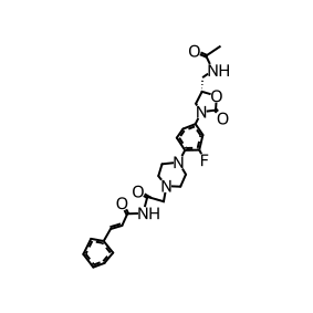 CC(=O)NC[C@H]1CN(c2ccc(N3CCN(CC(=O)NC(=O)/C=C/c4ccccc4)CC3)c(F)c2)C(=O)O1